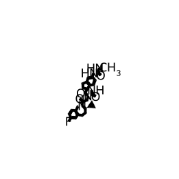 CNC(=O)Nc1ccc2c(c1)CCC21NC(=O)N(CC(=O)N2Cc3ccc(F)cc3CC[C@H]2C2CC2)C1=O